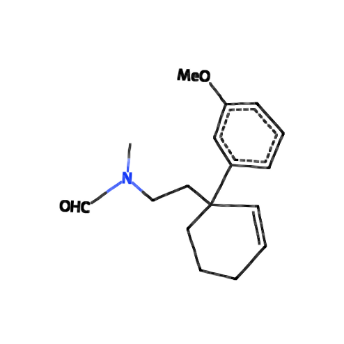 COc1cccc(C2(CCN(C)C=O)C=CCCC2)c1